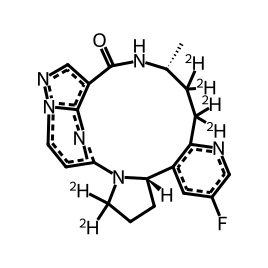 [2H]C1([2H])CC[C@H]2c3cc(F)cnc3C([2H])([2H])C([2H])([2H])[C@@H](C)NC(=O)c3cnn4ccc(nc34)N21